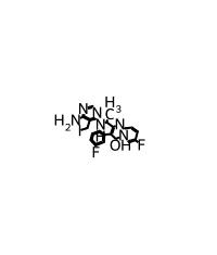 CC(Nc1ncnc(N)c1CI)C1=C(c2cccc(F)c2)C(O)N2C=C(F)C=CC2=N1